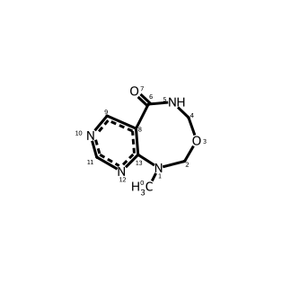 CN1COCNC(=O)c2cncnc21